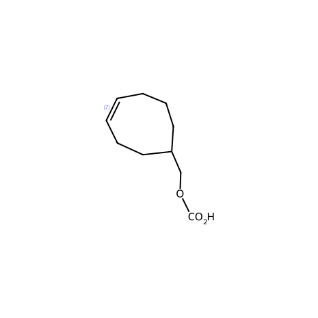 O=C(O)OCC1CC/C=C\CCC1